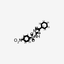 O=[N+]([O-])c1ccc(S(=O)(=O)Nc2nnc(C3CCCCC3)s2)cc1